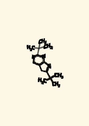 CC(C)(C)C1=Nc2nc(C(C)(C)C)ncc2C1